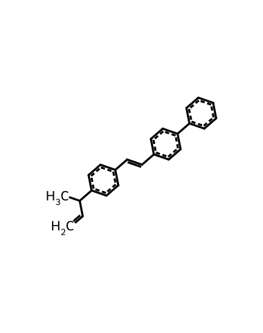 C=CC(C)c1ccc(C=Cc2ccc(-c3ccccc3)cc2)cc1